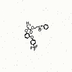 CC(Oc1cccc(Oc2ccc(C(F)(F)F)cc2)c1)C(=O)OCC[S+]([O-])Cc1ccccc1